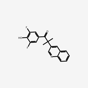 CC(C)(C(=O)c1cc(F)c(O)c(F)c1)c1cnc2ccccc2c1